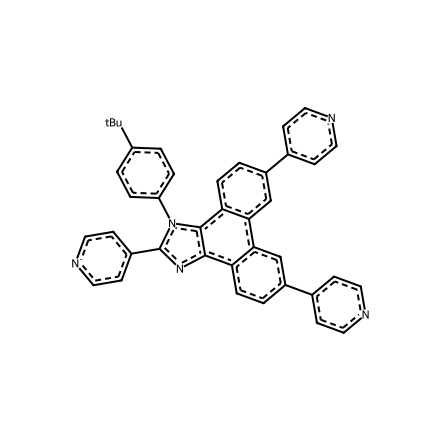 CC(C)(C)c1ccc(-n2c(-c3ccncc3)nc3c4ccc(-c5ccncc5)cc4c4cc(-c5ccncc5)ccc4c32)cc1